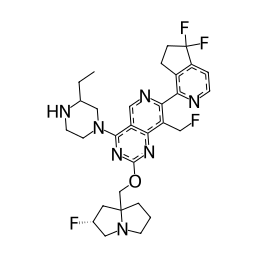 CCC1CN(c2nc(OCC34CCCN3C[C@H](F)C4)nc3c(CF)c(-c4nccc5c4CCC5(F)F)ncc23)CCN1